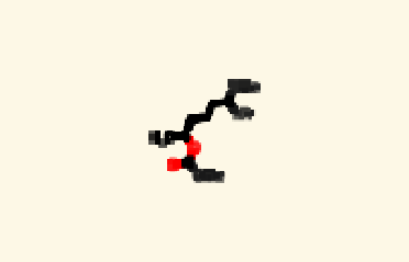 CCCC(C/C=C/C(C)OC(=O)OC)NC